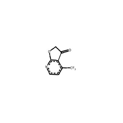 O=C1COc2nccc(C(F)(F)F)c21